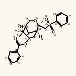 C[C@@]1(O)[C@@H]2C[C@H](C[C@H]1OC(=O)c1ccccc1)[C@](C)(CS(=O)(=O)c1ccccc1)OO2